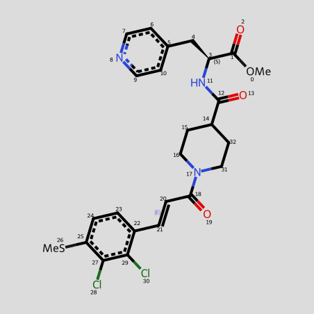 COC(=O)[C@H](Cc1ccncc1)NC(=O)C1CCN(C(=O)/C=C/c2ccc(SC)c(Cl)c2Cl)CC1